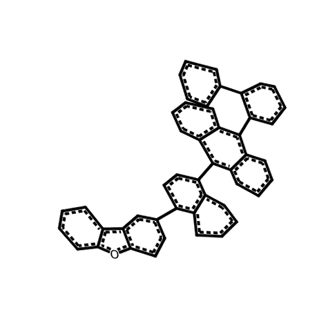 c1ccc(-c2ccccc2-c2c3ccccc3c(-c3ccc(-c4ccc5oc6ccccc6c5c4)c4ccccc34)c3ccccc23)cc1